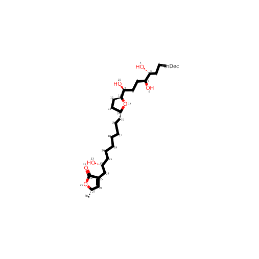 CCCCCCCCCCCC[C@@H](O)C(O)CC[C@H](O)[C@@H]1CC[C@@H](CCCCCCC[C@@H](O)CC2=C[C@H](C)OC2=O)O1